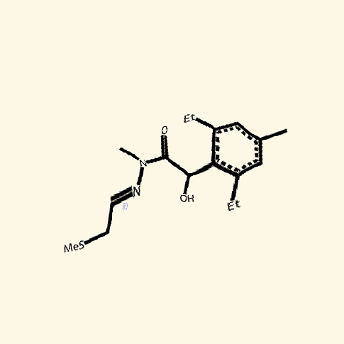 CCc1cc(C)cc(CC)c1C(O)C(=O)N(C)/N=C/CSC